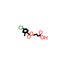 Cc1cc(Cl)ccc1C(=O)OCCCC(=O)O